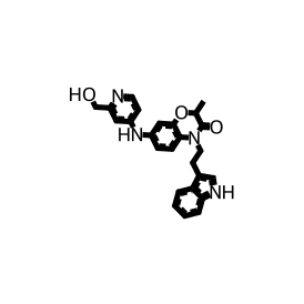 CC1Oc2cc(Nc3ccnc(CO)c3)ccc2N(CCc2c[nH]c3ccccc23)C1=O